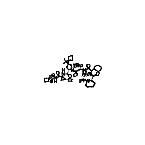 CC[C@@H]1C[C@]1(NC(=O)[C@@H]1C[C@@]2(CN1C(=O)[C@@H](NC(=O)[C@@H](NC(=O)[C@@H]1CCCCN1C(C)C)C1CCCCC1)C(C)(C)C)C(C)(C)C21CCC1)C(=O)NS(=O)(=O)C1(C)CCC1